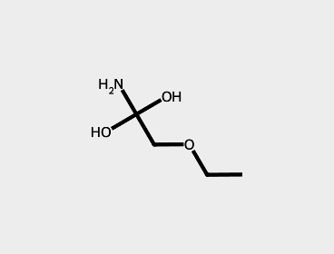 CCOCC(N)(O)O